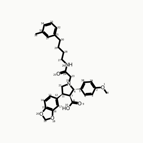 COc1ccc([C@@H]2[C@@H](C(=O)O)[C@@H](c3ccc4c(c3)OCO4)CN2CC(=O)NCCCCc2cccc(C)c2)cc1